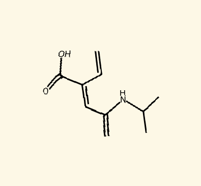 C=C/C(=C\C(=C)NC(C)C)C(=O)O